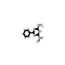 Nc1nc(NCl)nc(-c2ccccc2)n1